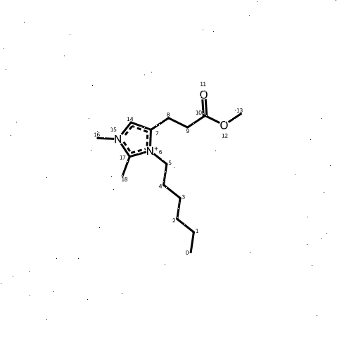 CCCCCC[n+]1c(CCC(=O)OC)cn(C)c1C